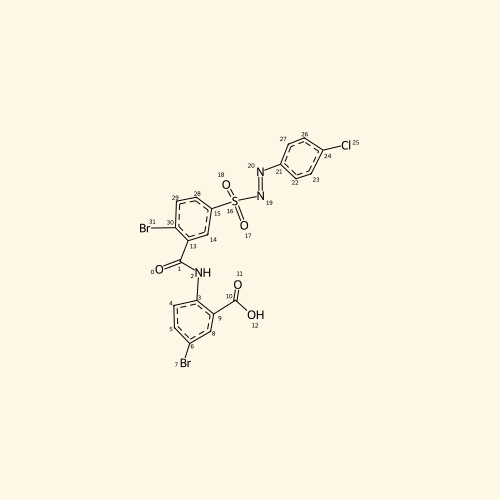 O=C(Nc1ccc(Br)cc1C(=O)O)c1cc(S(=O)(=O)/N=N/c2ccc(Cl)cc2)ccc1Br